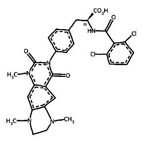 CN1CCN(C)c2cc3c(cc21)c(=O)n(-c1ccc(C[C@H](NC(=O)c2c(Cl)cccc2Cl)C(=O)O)cc1)c(=O)n3C